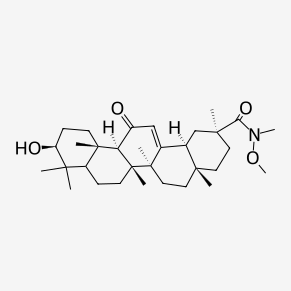 CON(C)C(=O)[C@@]1(C)CC[C@]2(C)CC[C@]3(C)C(=CC(=O)[C@@H]4[C@@]5(C)CC[C@H](O)C(C)(C)C5CC[C@]43C)[C@H]2C1